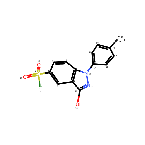 O=S(=O)(Cl)c1ccc2c(c1)c(O)nn2-c1ccc(C(F)(F)F)cc1